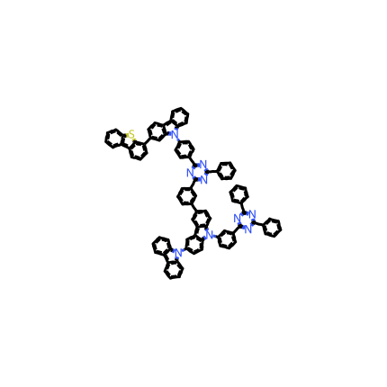 c1ccc(-c2nc(-c3ccc(-n4c5ccccc5c5ccc(-c6cccc7c6sc6ccccc67)cc54)cc3)nc(-c3cccc(-c4ccc5c(c4)c4cc(-n6c7ccccc7c7ccccc76)ccc4n5-c4cccc(-c5nc(-c6ccccc6)nc(-c6ccccc6)n5)c4)c3)n2)cc1